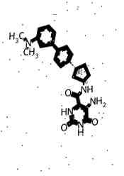 CN(C)c1cccc(-c2ccc([C@@H]3CC[C@H](NC(=O)c4[nH]c(=O)[nH]c(=O)c4N)C3)cc2)c1